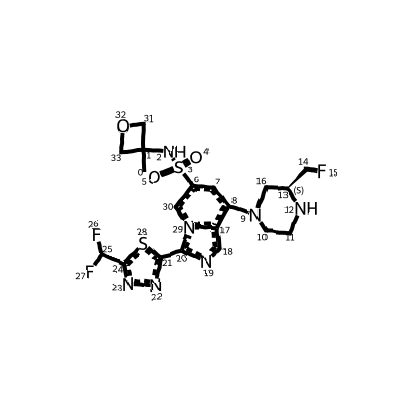 CC1(NS(=O)(=O)c2cc(N3CCN[C@H](CF)C3)c3cnc(-c4nnc(C(F)F)s4)n3c2)COC1